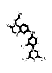 Cc1cc(Nc2ccc3c(c2)OCC(=O)N3CCO)ccc1N1CC(C)OC(C)C1